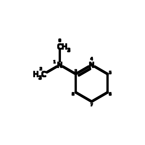 CN(C)C1=NCCCC1